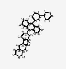 C1=CC(C2CC=CCC2)CC(c2c3ccccc3c(C3C=Cc4c(oc5c4C=C4C=CCCC4C5)C3)c3ccccc23)=C1